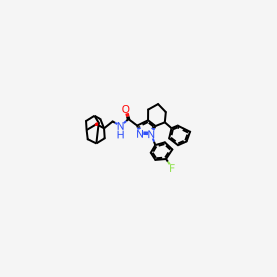 O=C(NCC12CC3CC(CC(C3)C1)C2)c1nn(-c2ccc(F)cc2)c2c1CCCC2c1ccccc1